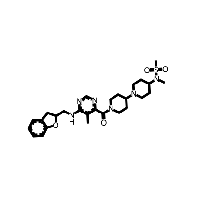 Cc1c(NCC2Cc3ccccc3O2)ncnc1C(=O)N1CCC(N2CCC(N(C)S(C)(=O)=O)CC2)CC1